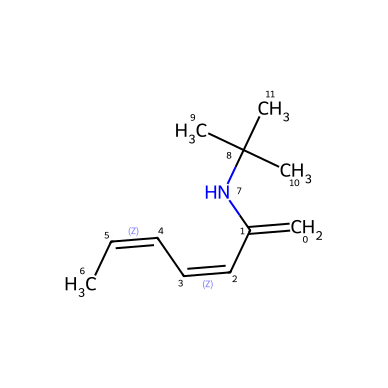 C=C(/C=C\C=C/C)NC(C)(C)C